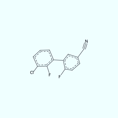 N#Cc1ccc(F)c(-c2cccc(Cl)c2F)c1